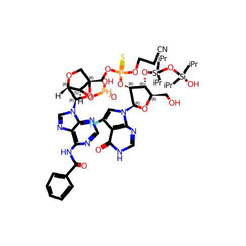 CC(C)[Si](O)(O[Si](O[C@H]1[C@@H](OP(=S)(OCCC#N)OC[C@@]23CO[C@@H]([C@H](n4cnc5c(NC(=O)c6ccccc6)ncnc54)O2)[C@@H]3O[PH](=O)O)[C@H](n2cc(F)c3c(=O)[nH]cnc32)O[C@@H]1CO)(C(C)C)C(C)C)C(C)C